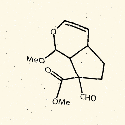 COC(=O)C1(C=O)CCC2C=COC(OC)C21